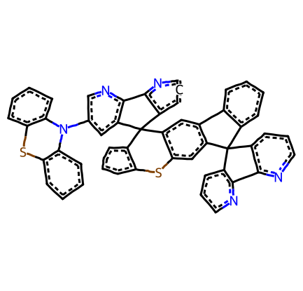 c1ccc2c(c1)Sc1ccccc1N2c1cnc2c(c1)C1(c3ccccc3Sc3cc4c(cc31)-c1ccccc1C41c3cccnc3-c3ncccc31)c1cccnc1-2